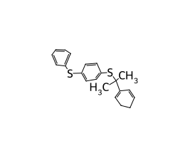 CC(C)(Sc1ccc(Sc2ccccc2)cc1)C1=CCCC=C1